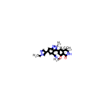 CCn1cc(-c2cc(C#N)c3c(-c4cc(OC)c5c(c4)C(C)(C)CNC5=O)n(C)nc3c2)cn1